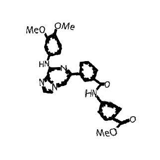 COC(=O)c1ccc(NC(=O)c2cccc(-c3cn4ccnc4c(Nc4ccc(OC)c(OC)c4)n3)c2)cc1